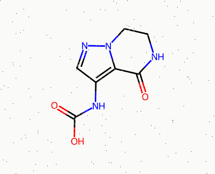 O=C(O)Nc1cnn2c1C(=O)NCC2